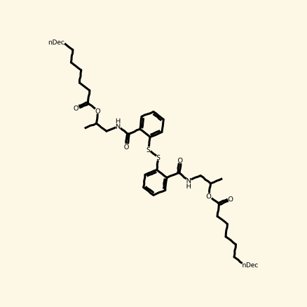 CCCCCCCCCCCCCCCC(=O)OC(C)CNC(=O)c1ccccc1SSc1ccccc1C(=O)NCC(C)OC(=O)CCCCCCCCCCCCCCC